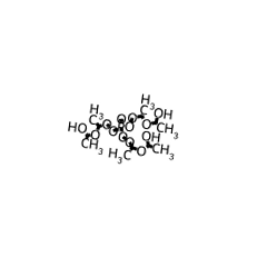 CC(O)OC(C)OOP(=O)(OOC(C)OC(C)O)OOC(C)OC(C)O